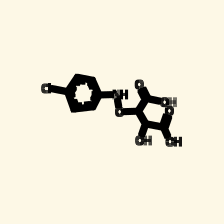 O=C(O)C(O)C(ONc1ccc(Cl)cc1)C(=O)O